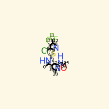 C=C(NCCSc1ncc(C(F)(F)F)cc1Cl)c1cc(C)nc(NC(C)=O)c1